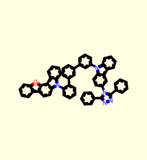 c1ccc(-c2nnc(-c3ccccc3)n2-c2ccc3c(c2)c2ccccc2n3-c2cccc(-c3cccc(-c4ccccc4-n4c5ccccc5c5c6oc7ccccc7c6ccc54)c3)c2)cc1